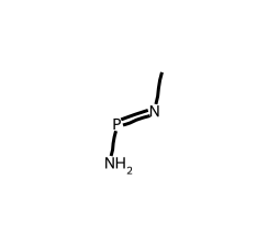 CN=PN